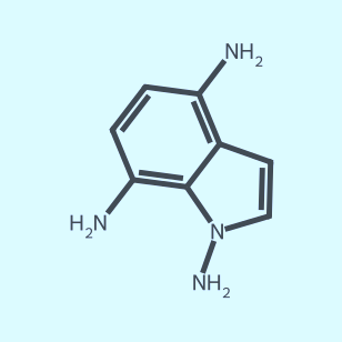 Nc1ccc(N)c2c1ccn2N